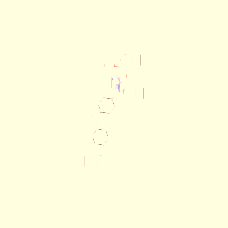 C=Cc1ccc(Sc2ccc(/C(C)=N/OC(C)=O)cc2)cc1